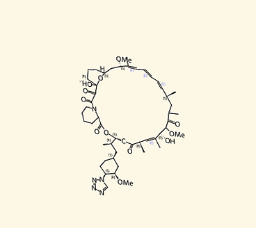 COC1C(=O)C(C)C[C@H](C)/C=C/C=C/C=C(\C)[C@@H](OC)C[C@@H]2CC[C@@H](C)C(O)(O2)C(=O)C(=O)N2CCCCC2C(=O)O[C@H]([C@H](C)C[C@@H]2CC[C@H](n3cnnn3)[C@H](OC)C2)CC(=O)[C@H](C)/C=C(\C)[C@H]1O